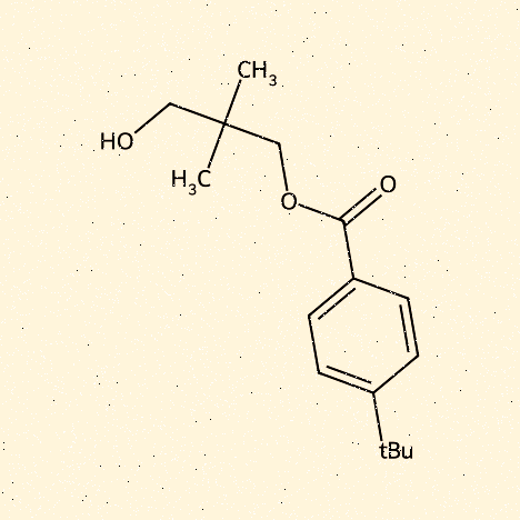 CC(C)(CO)COC(=O)c1ccc(C(C)(C)C)cc1